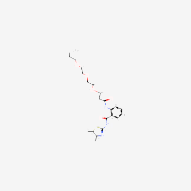 COCCOCCOCCOCCC(=O)Nc1ccccc1C(=O)NC1=NC(C)C(C)S1